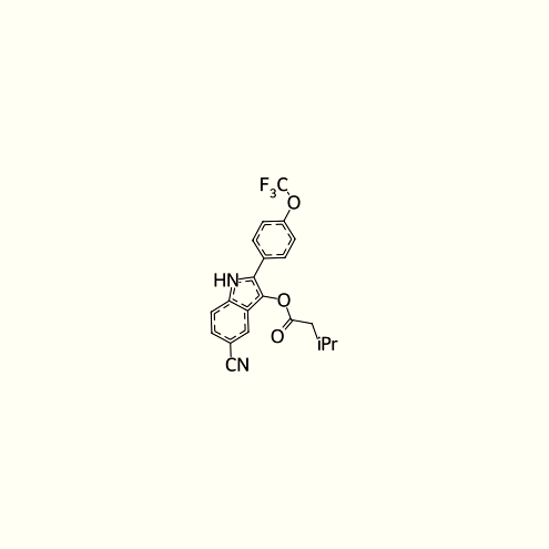 CC(C)CC(=O)Oc1c(-c2ccc(OC(F)(F)F)cc2)[nH]c2ccc(C#N)cc12